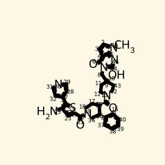 Cn1ccc2c(=O)n(CC3(O)CCN(C(=O)[C@@H]4CCN(C(=O)c5cc(N)c(-c6ccncc6)s5)C[C@H]4c4ccccc4)CC3)cnc21